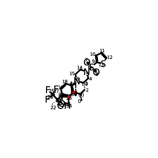 C[C@H](C[C@H]1CN(S(=O)(=O)c2cccs2)CCN1c1ccc([C@@](C)(O)C(F)(F)F)cc1)NC1COC1